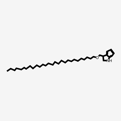 CCCCCCCCCCCCCCCCCCCCCCCCCCCCOCC1CNc2ccccc21